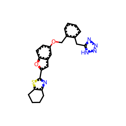 c1ccc(Cc2nnn[nH]2)c(COc2ccc3oc(-c4nc5c(s4)CCCC5)cc3c2)c1